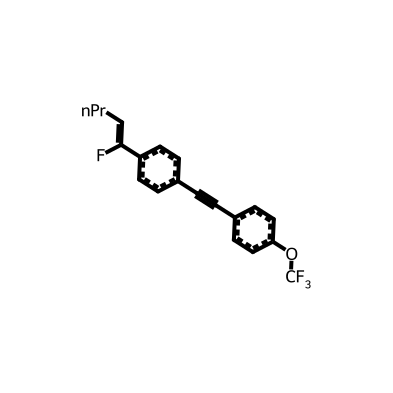 CCCC=C(F)c1ccc(C#Cc2ccc(OC(F)(F)F)cc2)cc1